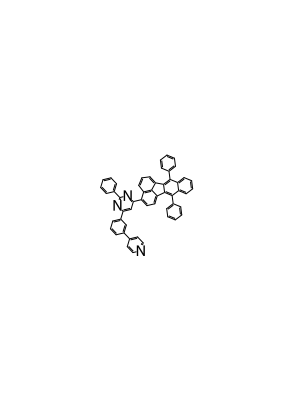 c1ccc(-c2nc(-c3cccc(-c4ccncc4)c3)cc(-c3ccc4c5c(cccc35)-c3c-4c(-c4ccccc4)c4ccccc4c3-c3ccccc3)n2)cc1